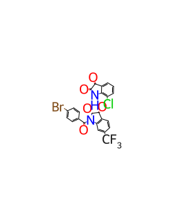 O=C1C(=O)N(C(=O)c2ccc(Br)cc2)c2cc(C(F)(F)F)ccc21.O=C1Nc2c(Cl)cccc2C1=O